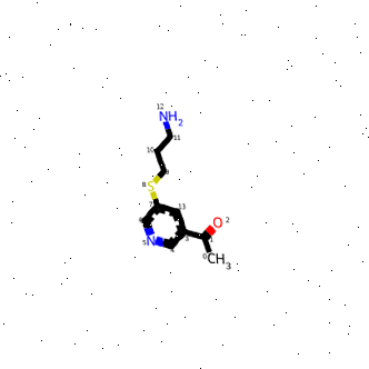 CC(=O)c1cncc(SCCCN)c1